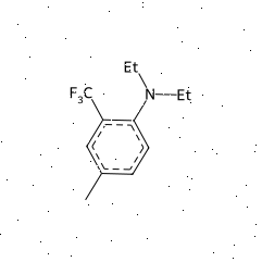 CCN(CC)c1ccc(C)cc1C(F)(F)F